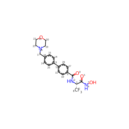 O=C(N[C@H](C(=O)NO)C(F)(F)F)c1ccc(-c2ccc(CN3CCOCC3)cc2)cc1